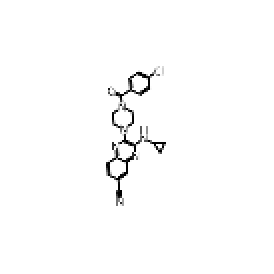 N#Cc1ccc2nc(N3CCN(C(=O)c4ccc(Cl)cc4)CC3)c(NC3CC3)nc2c1